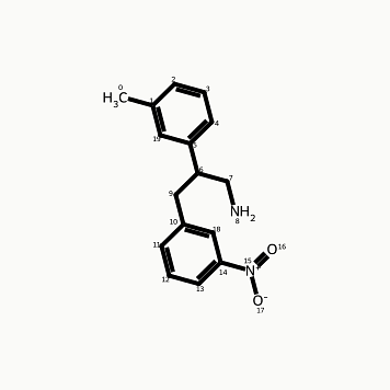 Cc1cccc(C(CN)Cc2cccc([N+](=O)[O-])c2)c1